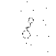 c1ccc(C[P]C2CCCCCCC2)cc1